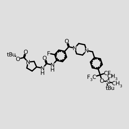 CC(C)(C)OC(=O)N1CCC(NC(=O)Nc2ccc(C(=O)N3CCN(Cc4ccc(C(O[Si](C)(C)C(C)(C)C)(C(F)(F)F)C(F)(F)F)cc4)CC3)cc2F)C1